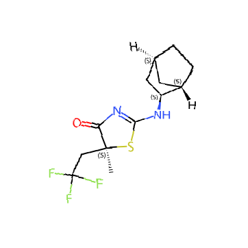 C[C@@]1(CC(F)(F)F)SC(N[C@H]2C[C@H]3CC[C@H]2C3)=NC1=O